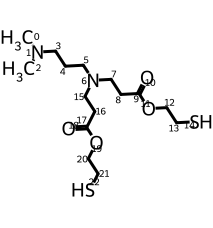 CN(C)CCCN(CCC(=O)OCCS)CCC(=O)OCCS